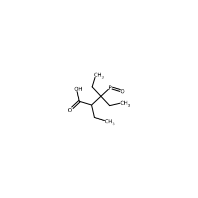 CCC(C(=O)O)C(CC)(CC)P=O